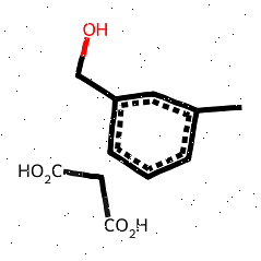 Cc1cccc(CO)c1.O=C(O)CC(=O)O